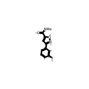 CNC(=O)c1cc(-c2cccc(F)c2)no1